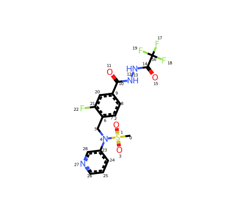 CS(=O)(=O)N(Cc1ccc(C(=O)NNC(=O)C(F)(F)F)cc1F)c1cccnc1